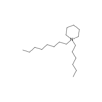 CCCCCCCC[N+]1(CCCCCC)CCCCC1